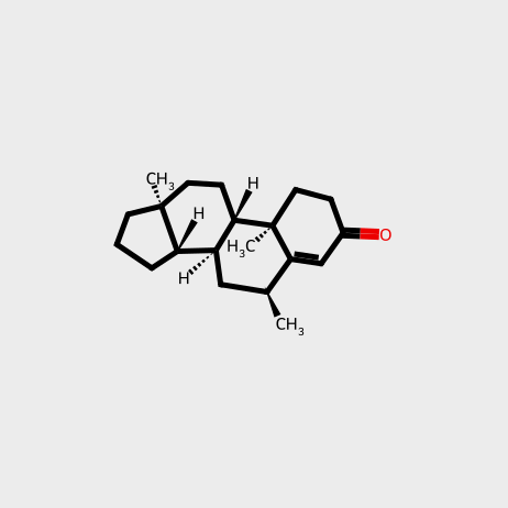 C[C@H]1C[C@H]2[C@@H]3CCC[C@@]3(C)CC[C@@H]2[C@@]2(C)CCC(=O)C=C12